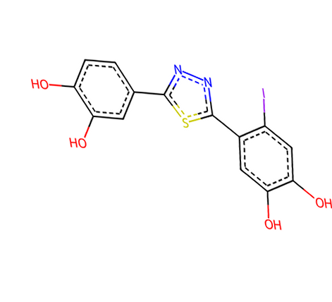 Oc1ccc(-c2nnc(-c3cc(O)c(O)cc3I)s2)cc1O